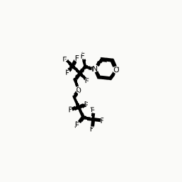 FC(C(F)(F)F)C(F)(F)COCC(F)(C(F)N1CCOCC1)C(F)(F)F